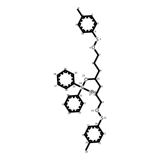 Cc1ccc(SOCCCC(CCCOSc2ccc(C)cc2)O[Si](c2ccccc2)(c2ccccc2)C(C)(C)C)cc1